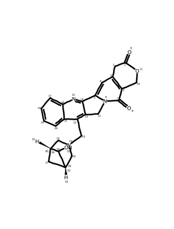 O=C1Cc2cc3n(c(=O)c2CO1)Cc1c-3nc2ccccc2c1CN1C[C@H]2C[C@@H](C1)C2O